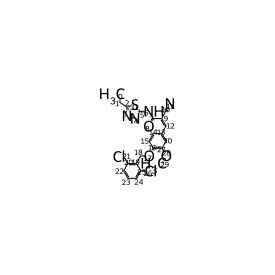 CCc1nnc(NC(=O)/C(C#N)=C\c2ccc(OCc3c(Cl)cccc3Cl)c(OC)c2)s1